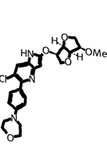 CO[C@@H]1CO[C@H]2[C@@H]1OC[C@H]2Oc1cc2nc(-c3ccc(N4CCOCC4)cc3)c(Cl)cc2[nH]1